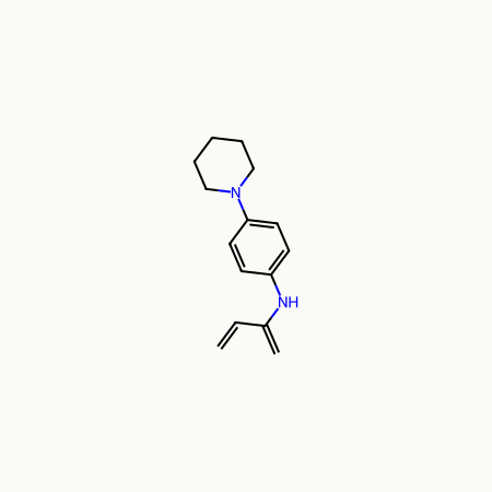 C=CC(=C)Nc1ccc(N2CCCCC2)cc1